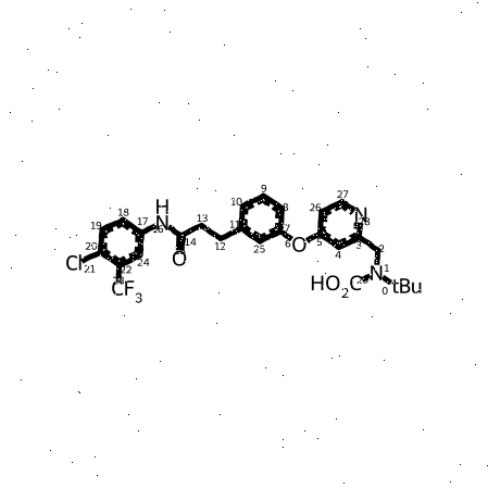 CC(C)(C)N(Cc1cc(Oc2cccc(CCC(=O)Nc3ccc(Cl)c(C(F)(F)F)c3)c2)ccn1)C(=O)O